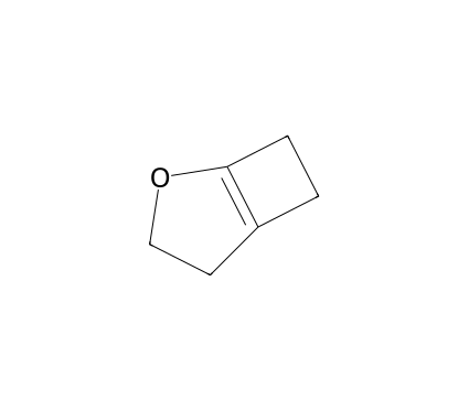 C1CC2=C(CC2)O1